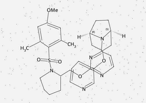 COc1cc(C)c(S(=O)(=O)N2CCCCC2COc2nccc(N3[C@@H]4CC[C@H]3CC(Oc3cccnc3)C4)n2)c(C)c1